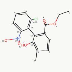 CCOC(=O)c1ccc(C)c(O)c1-c1c(Cl)cccc1[N+](=O)[O-]